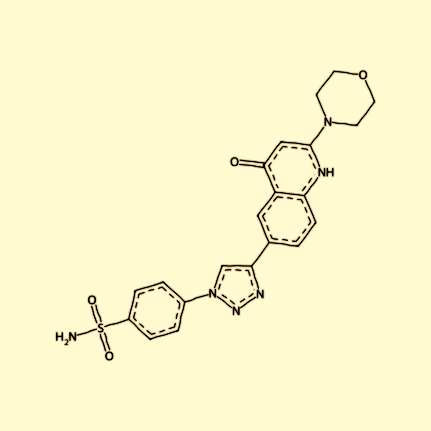 NS(=O)(=O)c1ccc(-n2cc(-c3ccc4[nH]c(N5CCOCC5)cc(=O)c4c3)nn2)cc1